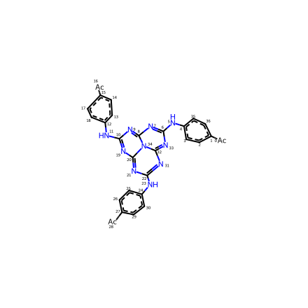 CC(=O)c1ccc(NC2=NC3=NC(Nc4ccc(C(C)=O)cc4)=NC4=NC(Nc5ccc(C(C)=O)cc5)=NC(=N2)N34)cc1